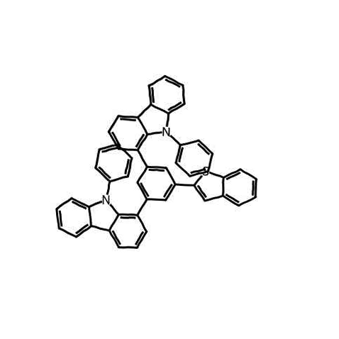 c1ccc(-n2c3ccccc3c3cccc(-c4cc(-c5cc6ccccc6s5)cc(-c5cccc6c7ccccc7n(-c7ccccc7)c56)c4)c32)cc1